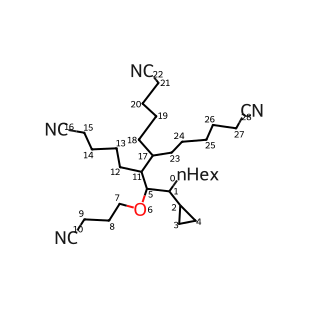 CCCCCCC(C1CC1)C(OCCCC#N)C(CCCCC#N)C(CCCCC#N)CCCCCC#N